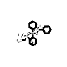 C=C[Si](C)(C=C)O[Si](O[SiH](C)c1ccccc1)(c1ccccc1)c1ccccc1